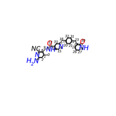 Cc1cc(N)nc(C#N)c1CNC(=O)c1ccnc(Cc2ccc(Cc3ccc[nH]c3=O)cc2)c1